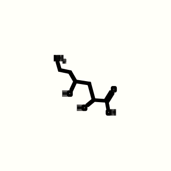 NCCC(O)CC(O)C(=O)O